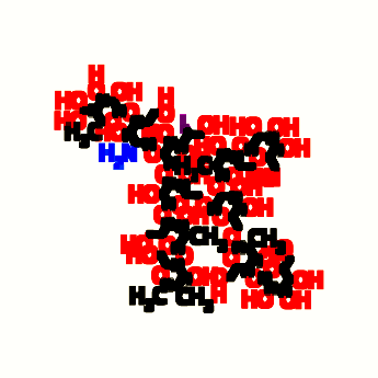 CC1O[C@@H](O[C@@H]2C(CO)O[C@@H](OC([C@H](O)O[C@@H]3C(O)[C@H](O[C@@H]4C(CO)O[C@@H](O[C@@H]5C(CO)O[C@@H](C)C(C)[C@H]5O)C(C)[C@H]4O)OC(CO[C@H]4OC(CO[C@@H]5OC(CO)[C@@H](O[C@@H]6OC(CO)C(O)[C@@H](O)[C@@H]6O)[C@H](O)C5C)[C@@H](O)[C@H](O)C4O[C@@H]4OC(CO)[C@@H](O[C@@H]5OC(CO)[C@H](O)[C@H](O)C5O)[C@H](O)C4C)[C@H]3O)[C@@H](O)[C@H](O)C(I)CO)C(N)[C@H]2O)C(O)[C@@H](O)[C@H]1C(O)O